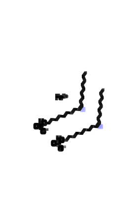 CCCCCCCC/C=C\CCCCCCCCO[PH](=O)[O-].CCCCCCCC/C=C\CCCCCCCCO[PH](=O)[O-].[Fe+2]